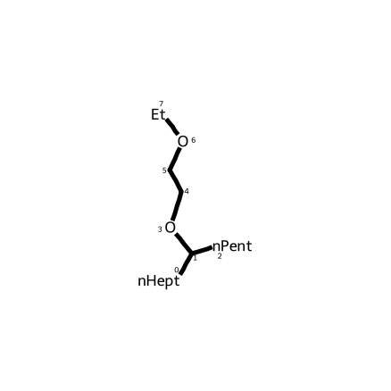 CCCCCCCC(CCCCC)OCCOCC